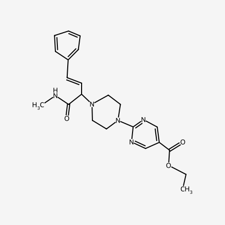 CCOC(=O)c1cnc(N2CCN(C(/C=C/c3ccccc3)C(=O)NC)CC2)nc1